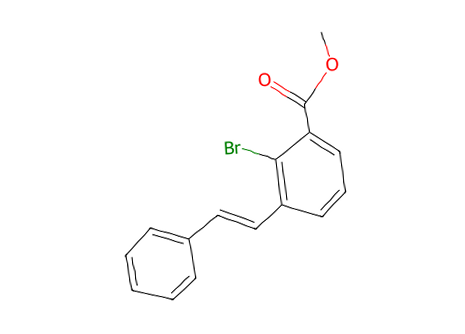 COC(=O)c1cccc(/C=C/c2ccccc2)c1Br